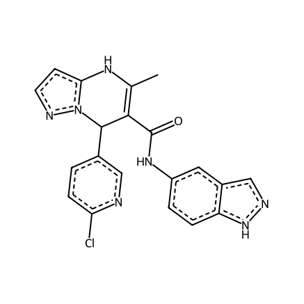 CC1=C(C(=O)Nc2ccc3[nH]ncc3c2)C(c2ccc(Cl)nc2)n2nccc2N1